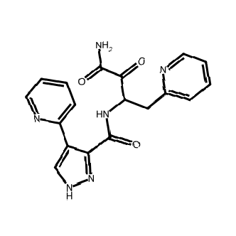 NC(=O)C(=O)C(Cc1ccccn1)NC(=O)c1n[nH]cc1-c1ccccn1